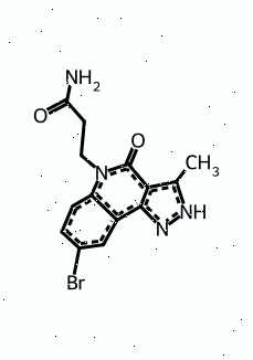 Cc1[nH]nc2c1c(=O)n(CCC(N)=O)c1ccc(Br)cc21